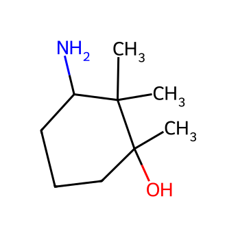 CC1(O)CCCC(N)C1(C)C